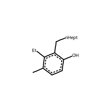 CCCCCCCCc1c(O)ccc(C)c1CC